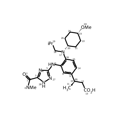 CNC(=O)c1nc(Nc2cc([C@H](C)CC(=O)O)ccc2N(CC(C)C)[C@H]2CC[C@@H](OC)CC2)n[nH]1